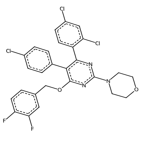 Fc1ccc(COc2nc(N3CCOCC3)nc(-c3ccc(Cl)cc3Cl)c2-c2ccc(Cl)cc2)cc1F